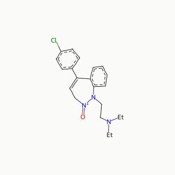 CCN(CC)CCN1c2ccccc2C(c2ccc(Cl)cc2)=CC[N+]1=O